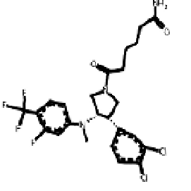 CN(c1ccc(C(F)(F)F)c(F)c1)[C@@H]1CN(C(=O)CCCCC(N)=O)C[C@@H]1c1ccc(Cl)c(Cl)c1